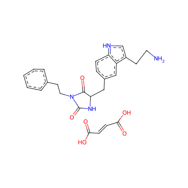 NCCc1c[nH]c2ccc(CC3NC(=O)N(CCc4ccccc4)C3=O)cc12.O=C(O)C=CC(=O)O